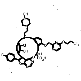 O=C(O)[C@H]1Cc2cc(ccc2OCc2nccc(OCCC(F)(F)F)n2)CN(CCN2CCN(O)CC2)Cc2ccc(c(O)c2Cl)-c2c(-c3ccc(F)cc3)sc3ncnc(c23)O1